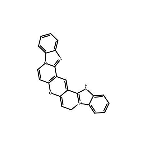 C1=C2Oc3ccn4c(nc5ccccc54)c3C=C2c2[nH]c3ccccc3[n+]2C1